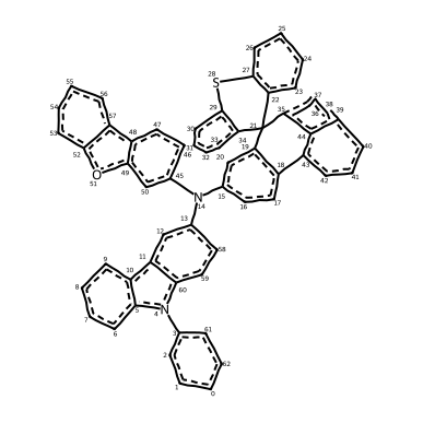 c1ccc(-n2c3ccccc3c3cc(N(c4ccc5c(c4)C4(c6ccccc6Sc6ccccc64)c4cccc6cccc-5c46)c4ccc5c(c4)oc4ccccc45)ccc32)cc1